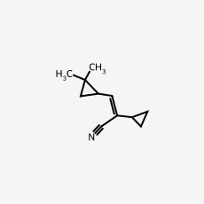 CC1(C)CC1/C=C(\C#N)C1CC1